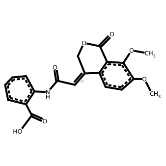 COc1ccc2c(c1OC)C(=O)OC/C2=C\C(=O)Nc1ccccc1C(=O)O